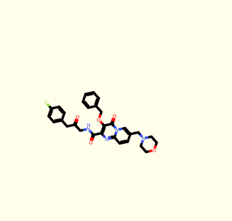 O=C(CNC(=O)c1nc2ccc(CN3CCOCC3)cn2c(=O)c1OCc1ccccc1)Cc1ccc(F)cc1